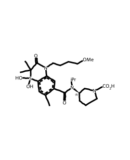 COCCCCN1C(=O)C(C)(C)S(O)(O)c2cc(C)c(C(=O)N(C(C)C)[C@@H]3CCCN(C(=O)O)C3)cc21